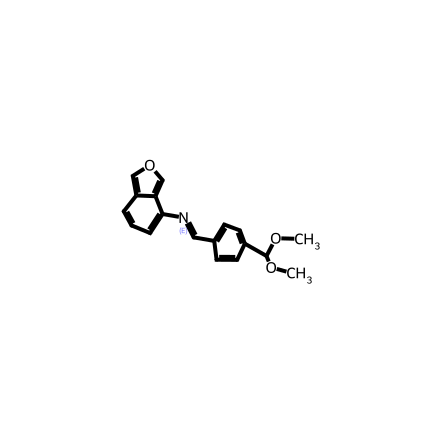 COC(OC)c1ccc(/C=N/c2cccc3cocc23)cc1